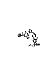 CSN(O)c1ccc(N2CCN(CC3CCCN(c4nc(N)n5nc(-c6ccco6)nc5n4)C3)CC2)c(F)c1